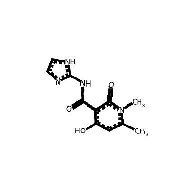 Cc1cc(O)c(C(=O)Nc2ncc[nH]2)c(=O)n1C